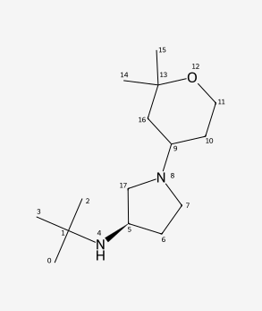 CC(C)(C)N[C@@H]1CCN(C2CCOC(C)(C)C2)C1